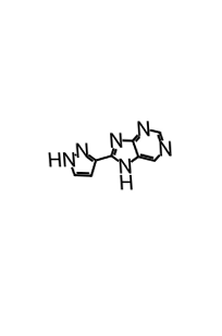 c1ncc2[nH]c(-c3cc[nH]n3)nc2n1